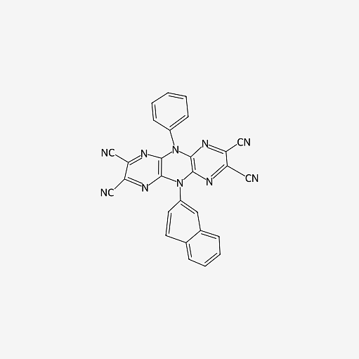 N#Cc1nc2c(nc1C#N)N(c1ccc3ccccc3c1)c1nc(C#N)c(C#N)nc1N2c1ccccc1